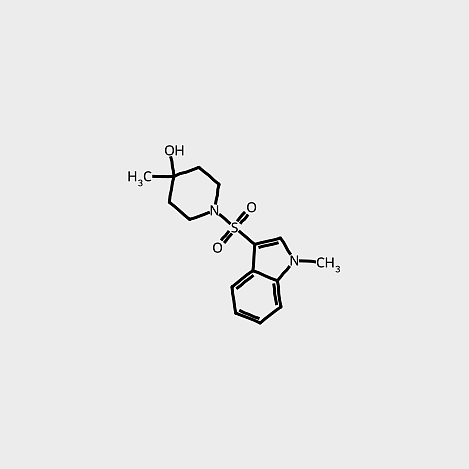 Cn1cc(S(=O)(=O)N2CCC(C)(O)CC2)c2ccccc21